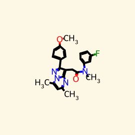 COc1ccc(-c2nn3c(C)cc(C)nc3c2CC(=O)N(C)c2cccc(F)c2)cc1